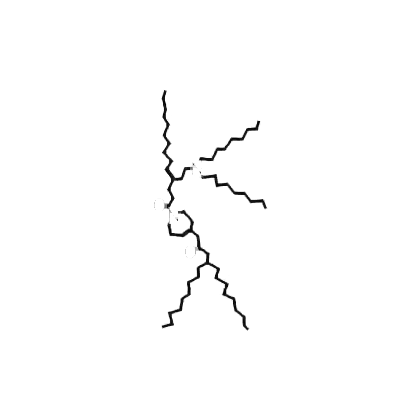 CCCCCCCCC/C=C(/CCC(=O)N1CCC=C(CC(=O)CC(CCCCCCCCC)CCCCCCCCC)CC1)CCN(CCCCCCCCC)CCCCCCCCC